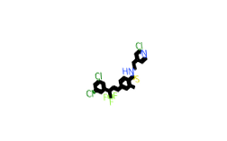 Cc1cc(/C=C/C(c2cc(Cl)cc(Cl)c2)C(F)(F)F)ccc1C(=S)NCCc1ccnc(Cl)c1